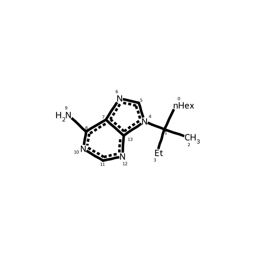 CCCCCCC(C)(CC)n1cnc2c(N)ncnc21